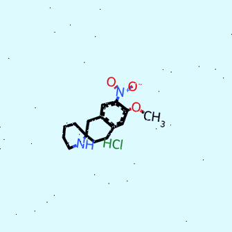 COc1cc2c(cc1[N+](=O)[O-])CC1(CCCCN1)CC2.Cl